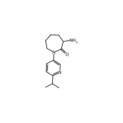 CC(C)c1ccc(N2CCCCC(N)C2=O)cn1